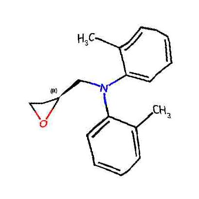 Cc1ccccc1N(C[C@@H]1CO1)c1ccccc1C